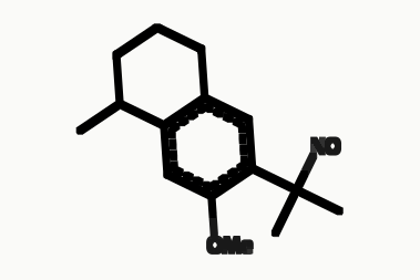 COc1cc2c(cc1C(C)(C)N=O)CCCC2C